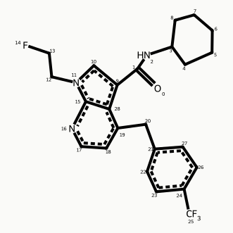 O=C(NC1CCCCC1)c1cn(CCF)c2nccc(Cc3ccc(C(F)(F)F)cc3)c12